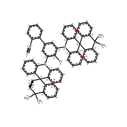 [C-]#[N+]c1ccccc1-c1cc(N2c3ccccc3C3(c4ccccc42)c2ccccc2C(C)(C)c2ccccc23)c(Cl)c(N2c3ccccc3C3(c4ccccc42)c2ccccc2C(C)(C)c2ccccc23)c1